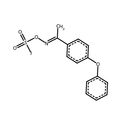 CC(=NOS(=O)(=O)I)c1ccc(Oc2ccccc2)cc1